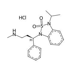 CNCC[C@H](c1ccccc1)N1c2ccccc2N(C(C)C)S1(=O)=O.Cl